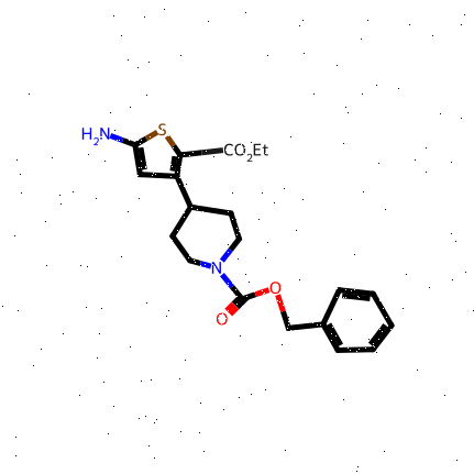 CCOC(=O)c1sc(N)cc1C1CCN(C(=O)OCc2ccccc2)CC1